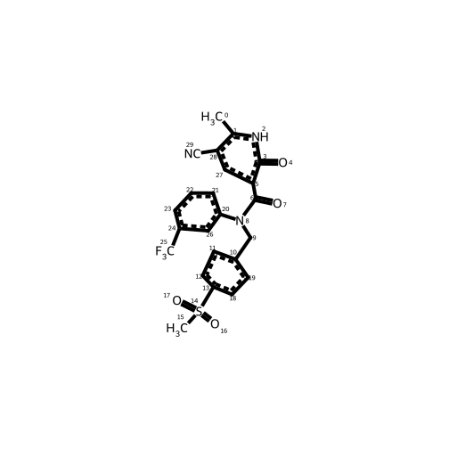 Cc1[nH]c(=O)c(C(=O)N(Cc2ccc(S(C)(=O)=O)cc2)c2cccc(C(F)(F)F)c2)cc1C#N